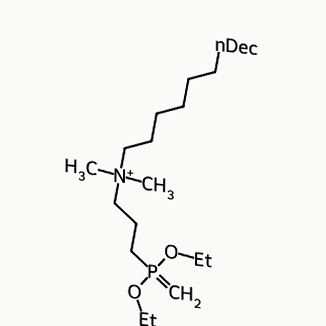 C=P(CCC[N+](C)(C)CCCCCCCCCCCCCCCC)(OCC)OCC